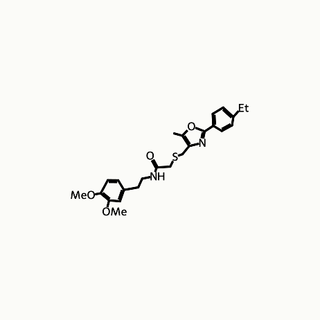 CCc1ccc(-c2nc(CSCC(=O)NCCc3ccc(OC)c(OC)c3)c(C)o2)cc1